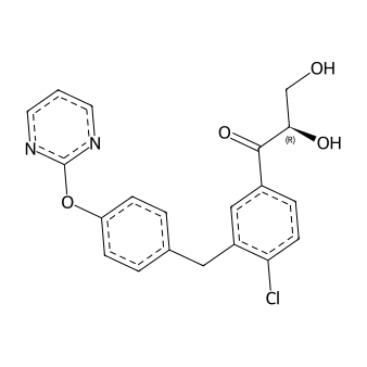 O=C(c1ccc(Cl)c(Cc2ccc(Oc3ncccn3)cc2)c1)[C@H](O)CO